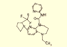 CCN1CCCN(C(=O)Nc2ccccn2)c2nc(N3CCCC3C(F)(F)F)ccc21